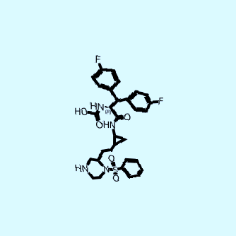 O=C(O)N[C@@H](C(=O)NC1CC1CCC1CNCCN1S(=O)(=O)c1ccccc1)C(c1ccc(F)cc1)c1ccc(F)cc1